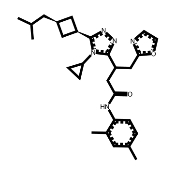 Cc1ccc(NC(=O)CC(Cc2ncco2)c2nnc([C@H]3C[C@@H](CC(C)C)C3)n2C2CC2)c(C)c1